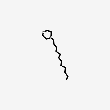 CCCCCCCCCCCCN1CC[N]CC1